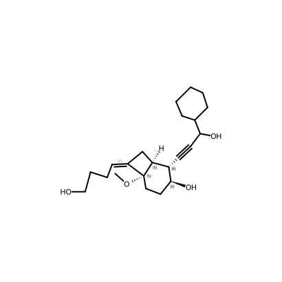 CO[C@@]12CC[C@H](O)[C@@H](C#CC(O)C3CCCCC3)[C@@H]1C/C2=C/CCCO